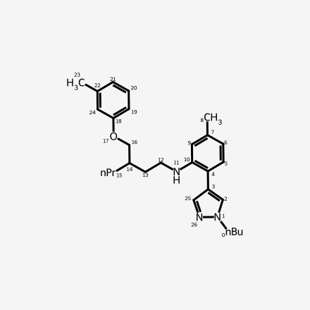 CCCCn1cc(-c2ccc(C)cc2NCCC(CCC)COc2cccc(C)c2)cn1